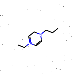 CCCN1C=C[N+](CC)=CC1